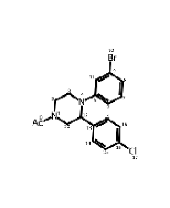 CC(=O)N1CCN(c2cccc(Br)c2)C(c2ccc(Cl)cc2)C1